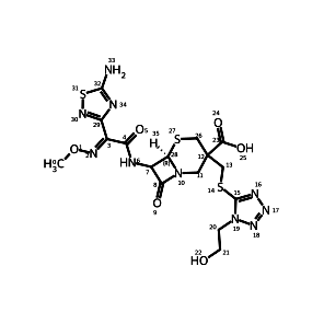 CON=C(C(=O)NC1C(=O)N2CC(CSc3nnnn3CCO)(C(=O)O)CS[C@H]12)c1nsc(N)n1